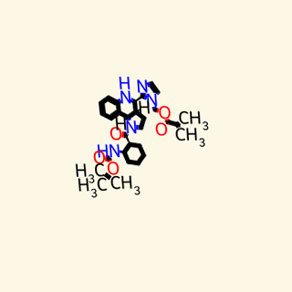 CC(C)C(=O)OCn1ccnc1[C@@H]1Nc2ccccc2[C@H]2[C@@H]1CCN2C(=O)[C@H]1CCCC[C@H]1NC(=O)OC(C)(C)C